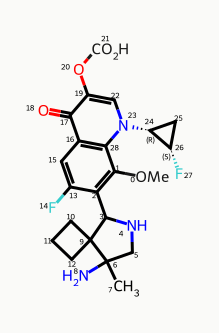 COc1c(C2NCC(C)(N)C23CCC3)c(F)cc2c(=O)c(OC(=O)O)cn([C@@H]3C[C@@H]3F)c12